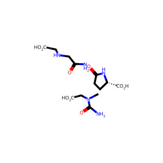 CN(CC(=O)O)C(N)=O.NC(=O)CNCC(=O)O.O=C1CC[C@@H](C(=O)O)N1